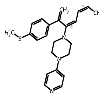 C=C(/C(=C\C=C/C)N1CCN(c2ccncc2)CC1)c1ccc(SC)cc1